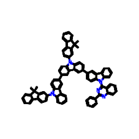 CC1(C)c2ccccc2-c2ccc(-n3c4ccccc4c4cc(-c5ccc6c(c5)c5cc(-c7ccc8c(c7)c7ccccc7n8-c7nc(-c8ccccc8)nc8ccccc78)ccc5n6-c5ccc6c(c5)C(C)(C)c5ccccc5-6)ccc43)cc21